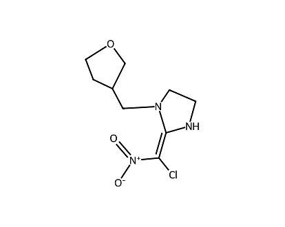 O=[N+]([O-])C(Cl)=C1NCCN1CC1CCOC1